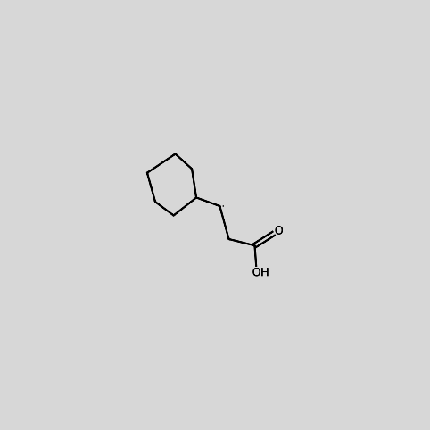 O=C(O)C[CH]C1CCCCC1